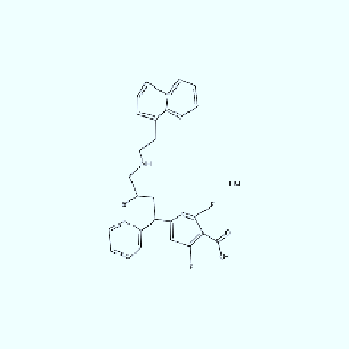 Cl.O=C(O)c1c(F)cc(C2CC(CNCCc3cccc4ccccc34)Oc3ccccc32)cc1F